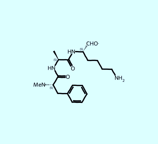 CN[C@@H](Cc1ccccc1)C(=O)N[C@@H](C)C(=O)N[C@H]([C]=O)CCCCN